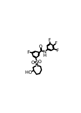 O=C(Nc1cc(F)c(F)c(F)c1)c1cc(F)cc(S(=O)(=O)N2CCCCC(O)C2)c1